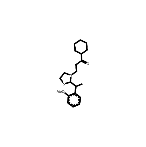 COc1ccccc1C(C)C1SCCN1CCC(=O)C1CCCCC1